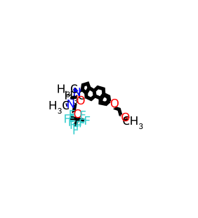 COCCCOc1ccc2c(c1)CCC1C2CC[C@@]2(C)C1CC[C@@H]2N(C)C(=O)CN(C)CCOC(C(F)(F)F)(C(F)(F)F)C(F)(F)F